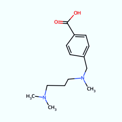 CN(C)CCCN(C)Cc1ccc(C(=O)O)cc1